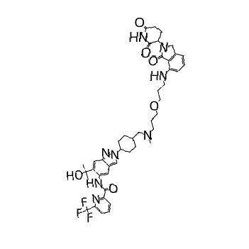 CN(CCCOCCCNc1cccc2c1C(=O)N(C1CCC(=O)NC1=O)C2)CC1CCC(n2cc3cc(NC(=O)c4cccc(C(F)(F)F)n4)c(C(C)(C)O)cc3n2)CC1